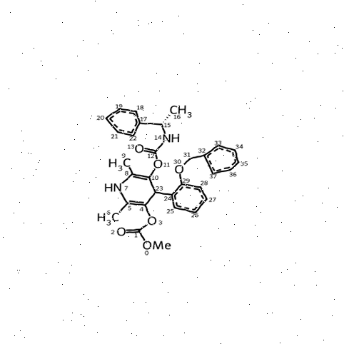 COC(=O)OC1=C(C)NC(C)=C(OC(=O)N[C@@H](C)c2ccccc2)C1c1ccccc1OCc1ccccc1